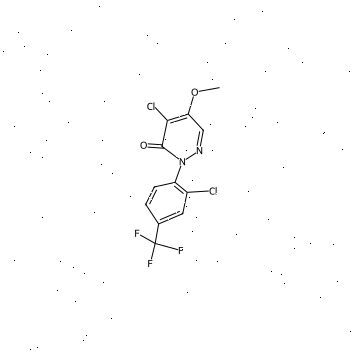 COc1cnn(-c2ccc(C(F)(F)F)cc2Cl)c(=O)c1Cl